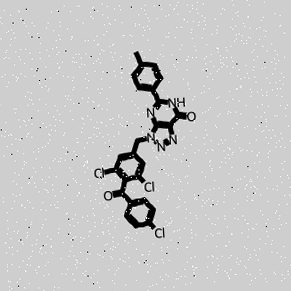 Cc1ccc(-c2nc3c(nnn3Cc3cc(Cl)c(C(=O)c4ccc(Cl)cc4)c(Cl)c3)c(=O)[nH]2)cc1